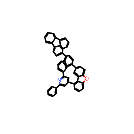 c1ccc(-c2cc(-c3cccc4oc5ccc(-c6ccc(-c7ccc8c9c(cccc79)-c7ccccc7-8)cc6)cc5c34)cc(-c3ccccc3)n2)cc1